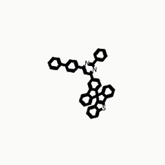 c1ccc(-c2ccc(-c3cc(-c4ccc5c(c4)-c4ccccc4C54c5ccccc5-c5sc6ccccc6c54)nc(-c4ccccc4)n3)cc2)cc1